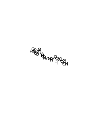 CC1(C)C(NC(=O)c2ccc(N3CCC(CN4CCN(c5ccc6c(c5)C(=O)N(C5CCC(=O)NC5=O)C6=O)CC4)CC3)nc2)C(C)(C)C1Oc1ccc(C#N)c2ncccc12